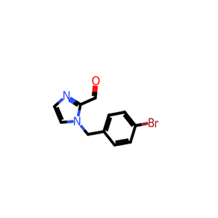 O=Cc1nccn1Cc1ccc(Br)cc1